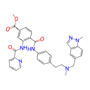 COC(=O)c1ccc(C(=O)Nc2ccc(CCN(C)Cc3ccc4c(cnn4C)c3)cc2)c(NC(=O)c2ccccn2)c1